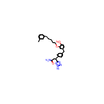 Cc1cccc(CCCCCOc2cc(Cc3ccc(C(CC(N)=O)c4nn[nH]n4)cc3)ccc2O)c1